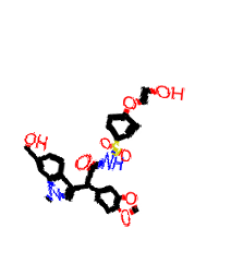 Cn1cc(C(C(=O)NS(=O)(=O)c2ccc(OCCO)cc2)c2ccc3c(c2)OCO3)c2ccc(CO)cc21